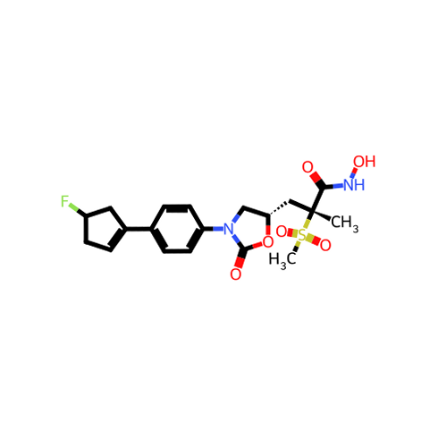 C[C@@](C[C@H]1CN(c2ccc(C3=CCC(F)C3)cc2)C(=O)O1)(C(=O)NO)S(C)(=O)=O